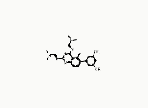 Cc1c(-c2cc(C(F)(F)F)cc(C(F)(F)F)c2)ccc2nc(/N=C/N(C)C)nc(/N=C/N(C)C)c12